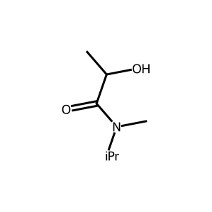 CC(O)C(=O)N(C)C(C)C